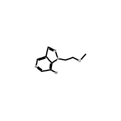 COCCn1ncc2cncc(Br)c21